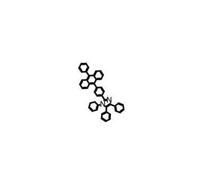 C1=CCCC(n2c(-c3ccc(-c4c5ccccc5c(-c5ccccc5)c5ccccc45)cc3)nc(-c3ccccc3)c2-c2ccccc2)=C1